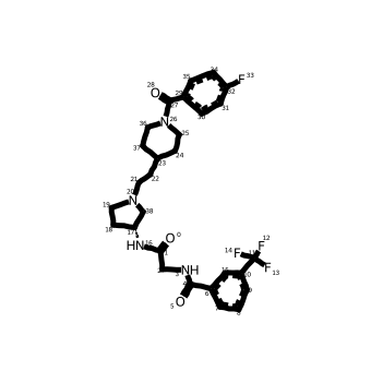 O=C(CNC(=O)c1cccc(C(F)(F)F)c1)N[C@@H]1CCN(CCC2CCN(C(=O)c3ccc(F)cc3)CC2)C1